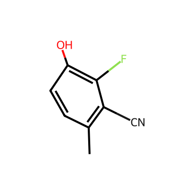 Cc1ccc(O)c(F)c1C#N